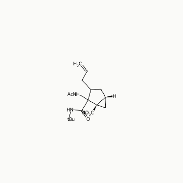 C=CCC1C[C@@H]2C[C@]2(C(=O)O)C1(NC(C)=O)C(=O)NC(C)(C)C